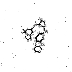 CC1(C)CC(Nc2nc(Nc3ccc(OC4CCOCC4)c(C#N)c3)ncc2F)CC2CCCN21